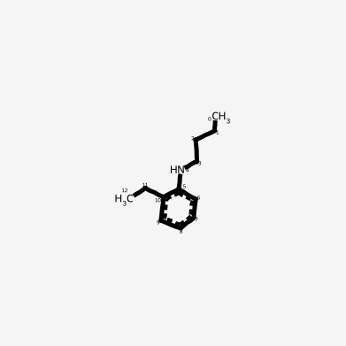 CCC[CH]Nc1ccccc1CC